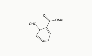 COC(=O)C1=CC=C=CC1C=O